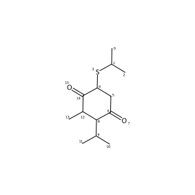 CC(C)SC1CC(=O)C(C(C)C)C(C)C1=O